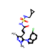 Cc1nn(C)c(-n2ccc3ccc(Cl)cc32)c1/C=C/C(=O)NS(=O)(=O)NCC1CC1